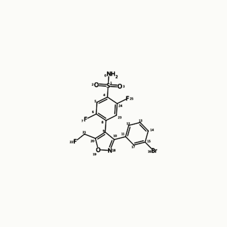 NS(=O)(=O)c1cc(F)c(-c2c(-c3cccc(Br)c3)noc2CF)cc1F